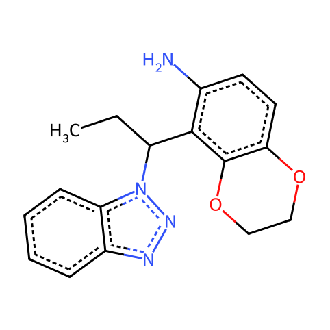 CCC(c1c(N)ccc2c1OCCO2)n1nnc2ccccc21